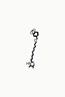 CC(C)C(C)NC(=S)/C=C/C=C/CCCCCCOCc1ccc2c(c1)OCO2